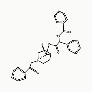 O=C(C[N+]12CCC(CC1)[C@@H](OC(=O)C(NC(=O)c1ccccc1)c1ccccc1)C2)c1ccccc1